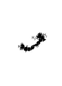 CC(C)(C)n1nc(-c2noc(C3CC3)c2-c2ncc(C3CCN(C(=O)CCCN4CCC(CN5CCN(c6c(F)cc(NC7CCC(=O)NC7=O)cc6F)CC5)CC4)CC3)cn2)c2c(N)ncnc21